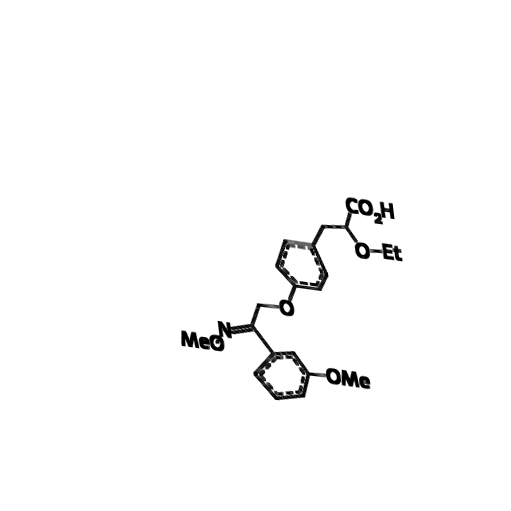 CCOC(Cc1ccc(OC/C(=N/OC)c2cccc(OC)c2)cc1)C(=O)O